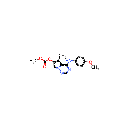 COC(=O)Oc1cn2ncnc(Nc3ccc(OC)cc3)c2c1C